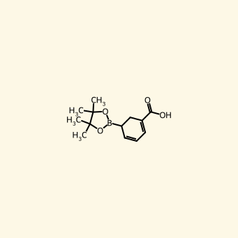 CC1(C)OB(C2C=CC=C(C(=O)O)C2)OC1(C)C